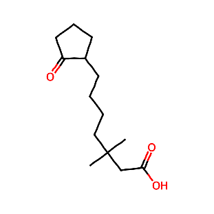 CC(C)(CCCCC1CCCC1=O)CC(=O)O